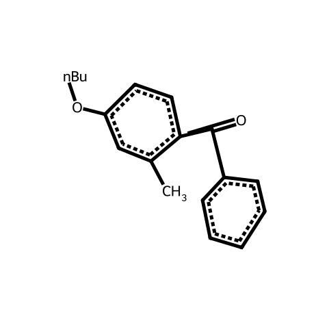 CCCCOc1ccc(C(=O)c2ccccc2)c(C)c1